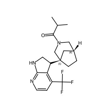 CC(C)C(=O)N1C[C@@H]2CC[C@@](C3CNc4nccc(C(F)(F)F)c43)(C2)C1